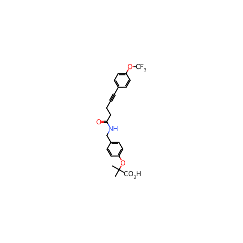 CC(C)(Oc1ccc(CNC(=O)CCC#Cc2ccc(OC(F)(F)F)cc2)cc1)C(=O)O